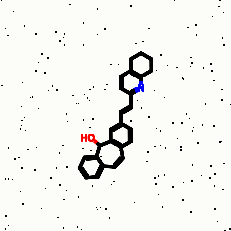 OC1c2ccccc2C=Cc2ccc(C=Cc3ccc4c(n3)CCCC4)cc21